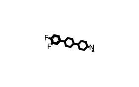 C=NC1CCC(C2CCC(c3ccc(F)c(F)c3)CC2)CC1